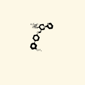 Cc1cccc([C@H]2CC[C@@H](OC[C@@H]3CN(c4ccccn4)CC[C@@H]3NS(C)(=O)=O)CC2)c1